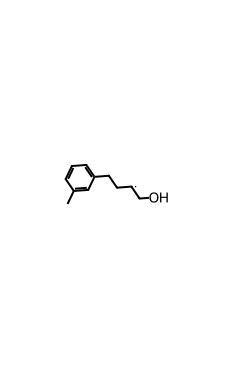 Cc1cccc(CC[CH]CO)c1